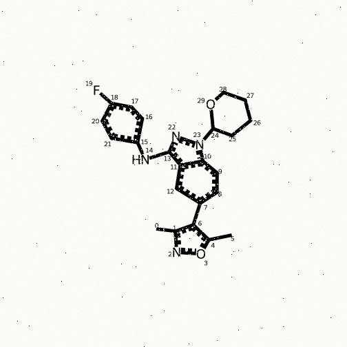 Cc1noc(C)c1-c1ccc2c(c1)c(Nc1ccc(F)cc1)nn2C1CCCCO1